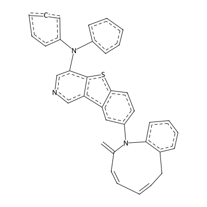 C=C1/C=C\C=C/Cc2ccccc2N1c1ccc2sc3c(N(c4ccccc4)c4ccccc4)cncc3c2c1